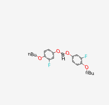 CCCCOc1ccc(OBOc2ccc(OCCCC)c(F)c2)cc1F